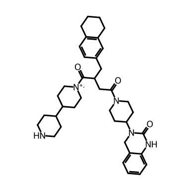 O=C(CC(Cc1ccc2c(c1)CCCC2)C(=O)[N+]1CCC(C2CCNCC2)CC1)N1CCC(N2Cc3ccccc3NC2=O)CC1